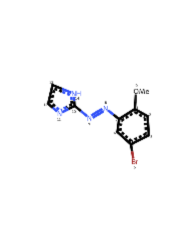 COc1ccc(Br)cc1N=Nc1ncc[nH]1